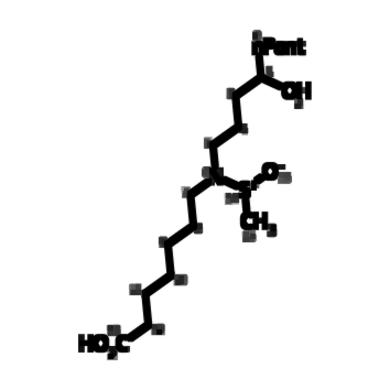 CCCCCC(O)CCCN(CCCCCCC(=O)O)[S+](C)[O-]